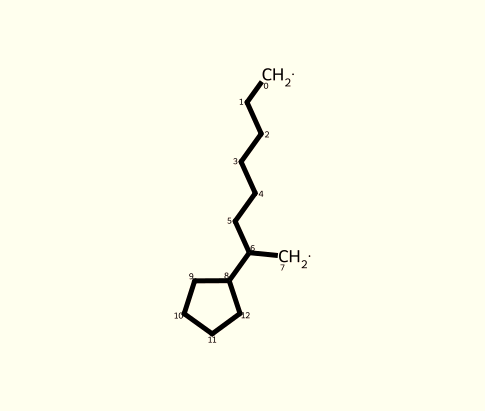 [CH2]CCCCCC([CH2])C1CCCC1